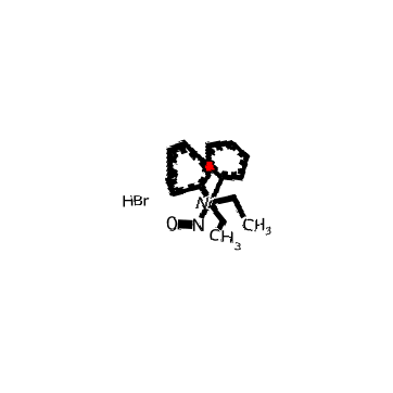 Br.C[CH2][Ni]([CH2]C)([N]=O)([c]1ccccc1)[c]1ccccc1